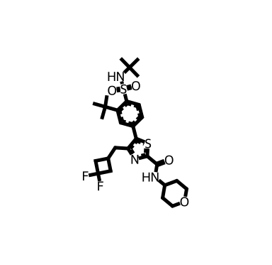 CC(C)(C)NS(=O)(=O)c1ccc(-c2sc(C(=O)NC3CCOCC3)nc2CC2CC(F)(F)C2)cc1C(C)(C)C